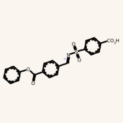 O=C(O)c1ccc(S(=O)(=O)/N=C/c2ccc(C(=O)Oc3ccccc3)cc2)cc1